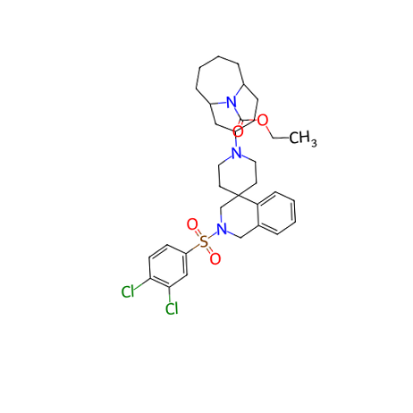 CCOC(=O)N1C2CCCCC1CC(N1CCC3(CC1)CN(S(=O)(=O)c1ccc(Cl)c(Cl)c1)Cc1ccccc13)CC2